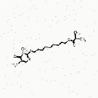 C=C(C)C(=O)OCCCCCCCCCSc1ncc(C)c(=O)n1C